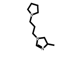 CC1CN(CCCN2CCCC2)C=N1